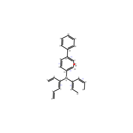 C=C/C=C(\C=C)N(C(/C=C\C)=C/C)C(/C=C\C(=C/C)c1ccccc1)=C/C